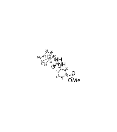 COC(=O)c1cccc(NC(=O)NC2C3CC4CC(C3)CC2C4)c1